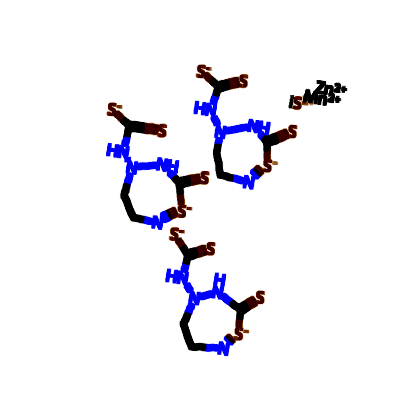 S=C([S-])NN1CCN=[S-]C(=S)N1.S=C([S-])NN1CCN=[S-]C(=S)N1.S=C([S-])NN1CCN=[S-]C(=S)N1.[Mn+2].[S+2].[Zn+2]